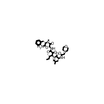 CC[C@H](C)C(NC(=O)[C@H](CC(C)C)NC(=O)CN1CCOCC1)C(=O)C(=O)NCC(=O)N(C)[C@@H](Cc1ccccc1)C(N)=O